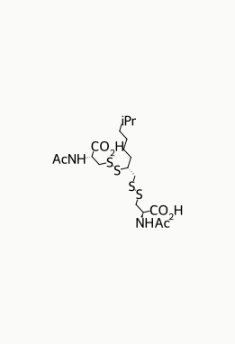 CC(=O)N[C@@H](CSSC[C@@H](CCCCC(C)C)SSC[C@H](NC(C)=O)C(=O)O)C(=O)O